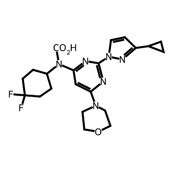 O=C(O)N(c1cc(N2CCOCC2)nc(-n2ccc(C3CC3)n2)n1)C1CCC(F)(F)CC1